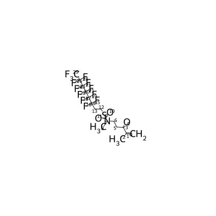 C=C(C)C(=O)CCN(C)S(=O)(=O)CCC(F)(F)C(F)(F)C(F)(F)C(F)(F)C(F)(F)C(F)(F)F